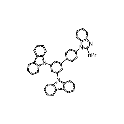 CCCc1nc2ccccc2n1-c1ccc(-c2cc(-n3c4ccccc4c4ccccc43)cc(-n3c4ccccc4c4ccccc43)c2)cc1